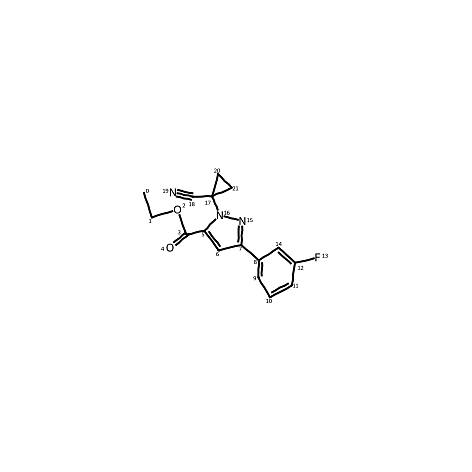 CCOC(=O)c1cc(-c2cccc(F)c2)nn1C1(C#N)CC1